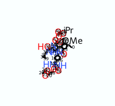 C=Cc1cc(C(=O)Nc2ccc(C(=N)NC(=O)OCC3COC(C)(C)O3)cc2)c(-c2ccc(C(O)NCC3CC3)nc2C(=O)OC(C)OC(=O)OC(C)C)cc1OC